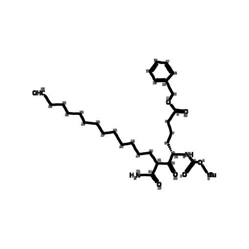 CC(C)(C)OC(=O)N[C@@H](CCCC(=O)OCc1ccccc1)C(=O)C(CCCCCCCCCCCCC=O)C(N)=O